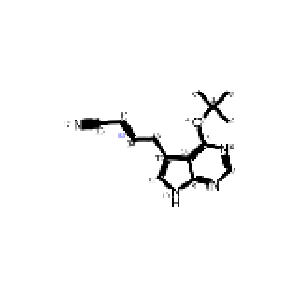 CC(C)(C)Oc1ncnc2[nH]cc(C/C=C/C#N)c12